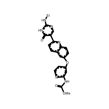 CCNc1ncc(-c2ccc3cc(Oc4ccnc(NC(=O)OC)c4)ccc3n2)c(=O)[nH]1